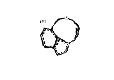 C1=C\n2ccc3cccc(c32)CSC/1.Cl